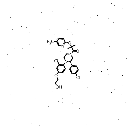 CC(C)(Oc1ccc(C(F)(F)F)cn1)C(=O)N1CCN(c2ccc(OCCO)cc2Cl)[C@H](c2ccc(Cl)cc2)C1